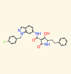 O=C(Nc1ccc2cnn(Cc3ccc(F)cc3)c2c1)C1=C(O)C(CCc2ccccc2)NC1=O